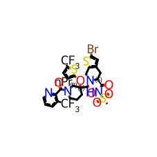 CCC[C@H]1N(C(=O)c2ncccc2C(F)(F)F)CCC[C@@]1(Oc1ccc(C(F)(F)F)s1)C(=O)N1Cc2sc(Br)cc2C[C@H]1C(=O)NS(C)(=O)=O